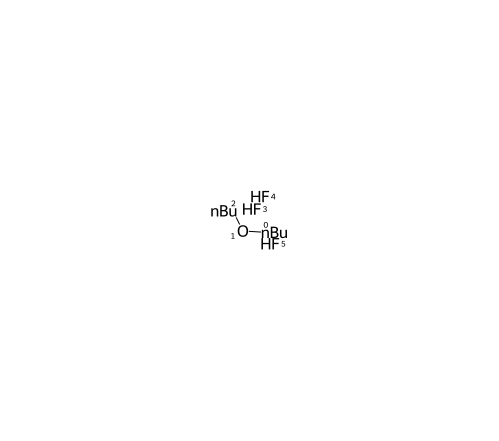 CCCCOCCCC.F.F.F